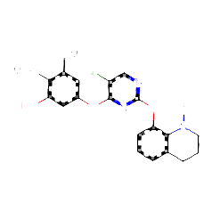 COc1cc(Oc2nc(Oc3cccc4c3N(C(C)=O)CCC4)ncc2Br)cc(O)c1OC